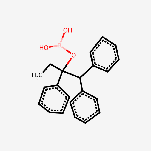 CCC(OB(O)O)(c1ccccc1)C(c1ccccc1)c1ccccc1